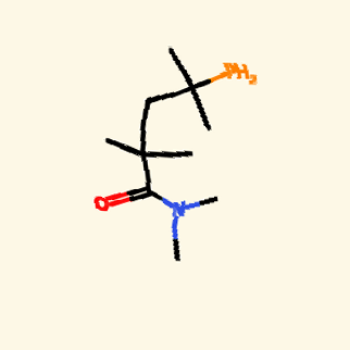 CN(C)C(=O)C(C)(C)CC(C)(C)P